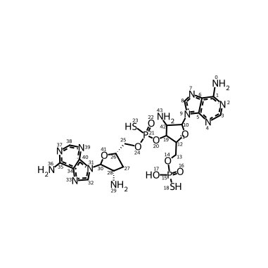 Nc1ncnc2c1ncn2C1OC(COP(=O)(O)S)C(OP(=O)(S)OC[C@@H]2C[C@H](N)C(n3cnc4c(N)ncnc43)O2)C1N